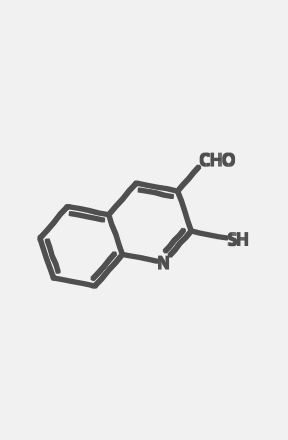 O=Cc1cc2ccccc2nc1S